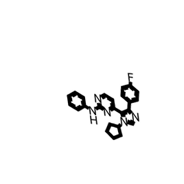 Fc1ccc(-c2ncn(C3CCCC3)c2-c2ccnc(Nc3ccccc3)n2)cc1